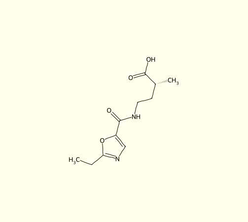 CCc1ncc(C(=O)NCC[C@@H](C)C(=O)O)o1